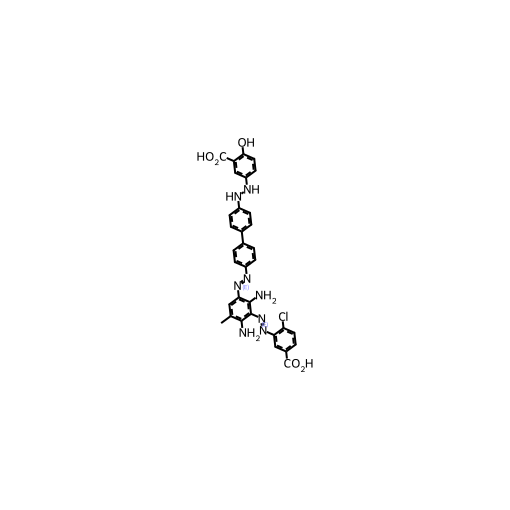 Cc1cc(/N=N/c2ccc(-c3ccc(NNc4ccc(O)c(C(=O)O)c4)cc3)cc2)c(N)c(/N=N/c2cc(C(=O)O)ccc2Cl)c1N